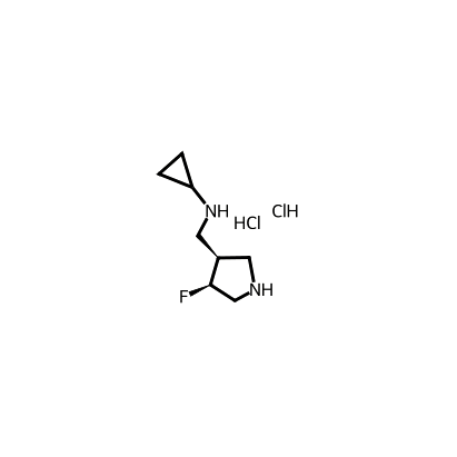 Cl.Cl.F[C@@H]1CNC[C@@H]1CNC1CC1